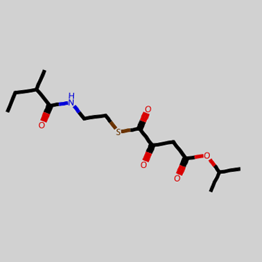 CCC(C)C(=O)NCCSC(=O)C(=O)CC(=O)OC(C)C